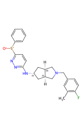 Cc1cc(CN2C[C@H]3C[C@H](Nc4ccc([S+]([O-])c5ccccc5)nn4)C[C@H]3C2)ccc1F